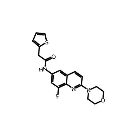 O=C(Cc1cccs1)Nc1cc(F)c2nc(N3CCOCC3)ccc2c1